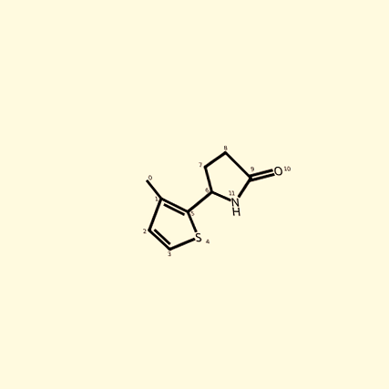 Cc1ccsc1C1CCC(=O)N1